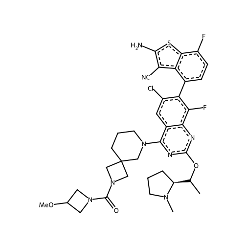 COC1CN(C(=O)N2CC3(CCCN(c4nc(OC(C)[C@@H]5CCCN5C)nc5c(F)c(-c6ccc(F)c7sc(N)c(C#N)c67)c(Cl)cc45)C3)C2)C1